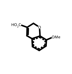 COc1cccc2c1OCC(C(=O)O)=C2